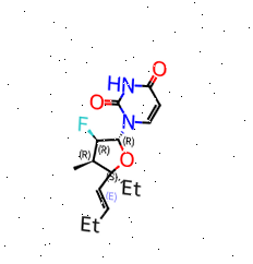 CC/C=C/[C@]1(CC)O[C@@H](n2ccc(=O)[nH]c2=O)[C@H](F)[C@@H]1C